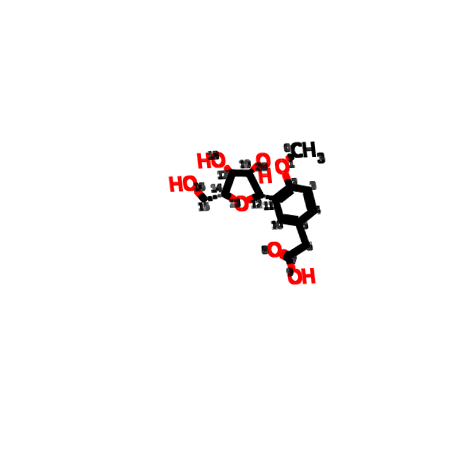 COc1ccc(CC(=O)O)cc1[C@@H]1O[C@H](CO)[C@@H](O)[C@H]1O